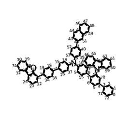 c1ccc(-c2ccc(-c3ccc(N(c4ccc(-c5ccc(-c6cccc7c6oc6ccccc67)cc5)cc4)c4ccc(-c5ccc6ccccc6c5)cc4)cc3)c(-n3c4ccccc4c4ccccc43)c2)cc1